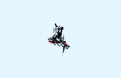 C=CCNC(=O)C(=O)C(CCCC)NC(=O)[C@@H]1[C@@H]2[C@H](CN1C(=O)[C@@H](NC(=O)N[C@H](C(=O)OC(C)(C)C)C(C)(C)C)C(C)(C)C)C2(C)C